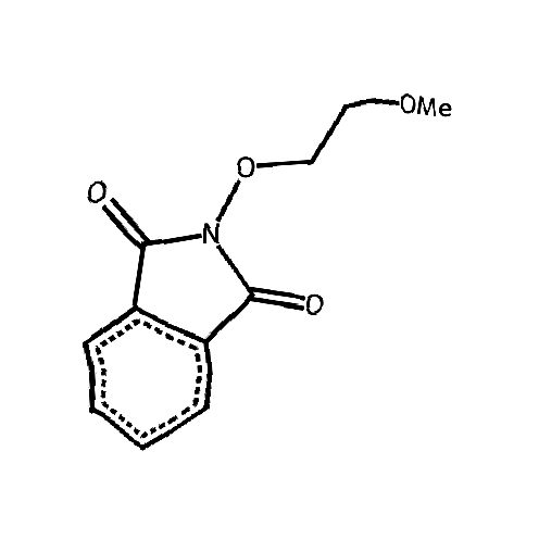 COCCON1C(=O)c2ccccc2C1=O